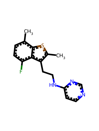 Cc1sc2c(C)ccc(F)c2c1CCNc1ccncn1